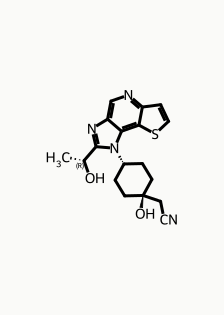 C[C@@H](O)c1nc2cnc3ccsc3c2n1[C@H]1CC[C@@](O)(CC#N)CC1